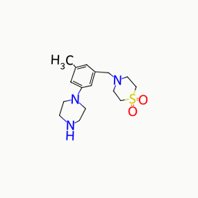 Cc1cc(CN2CCS(=O)(=O)CC2)cc(N2CCNCC2)c1